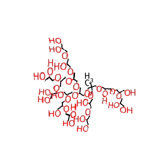 CCC(COCC(O)COCC(O)CO)(COCC(O)COCC(CO)OCC(O)CO)COCC(COCC(COCC(O)COCC(O)CO)OCC(COCC(O)CO)OCC(O)CO)OCC(CO)OCC(CO)OCC(O)CO